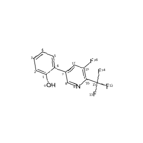 Oc1ccccc1-c1cnc(C(F)(F)F)c(F)c1